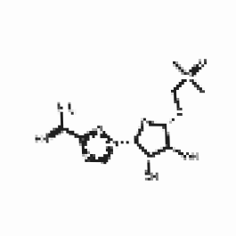 CP(C)(=O)CO[C@H]1O[C@@H](n2cnc(C(=N)N)n2)[C@H](O)[C@@H]1O